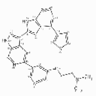 CN(C)CCOc1cncc(-c2cc3c(-c4nc5c(-c6ccsc6)nccc5[nH]4)n[nH]c3cn2)c1